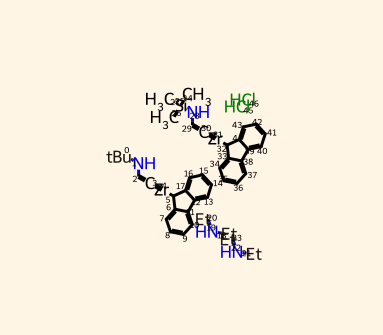 CC(C)(C)NC=[C]=[Zr][CH]1c2ccccc2-c2ccccc21.CCNCC.CCNCC.C[Si](C)(C)NC=[C]=[Zr][CH]1c2ccccc2-c2ccccc21.Cl.Cl